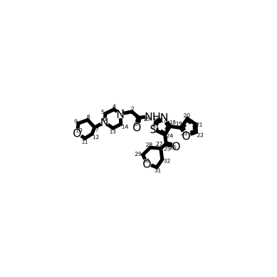 O=C(CN1CCN(C2CCOCC2)CC1)Nc1nc(-c2ccco2)c(C(=O)C2CCOCC2)s1